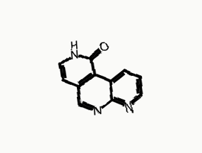 O=c1[nH]ccc2cnc3ncccc3c12